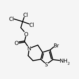 Nc1sc2c(c1Br)CN(C(=O)OCC(Cl)(Cl)Cl)CC2